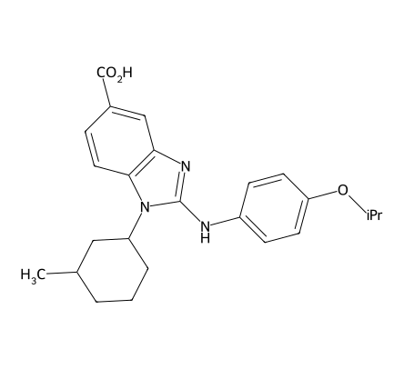 CC1CCCC(n2c(Nc3ccc(OC(C)C)cc3)nc3cc(C(=O)O)ccc32)C1